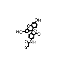 O=C(C[S])Nc1ccc2c(c1)C(=O)OC21c2ccc(O)cc2Oc2cc(O)ccc21